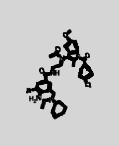 CCN(Cc1cc(C(=O)NCCN(C(C)=O)c2c(C)n(C(=O)c3ccc(Cl)cc3)c3ccc(OC)cc23)cc(Br)c1N)C1CCCCC1